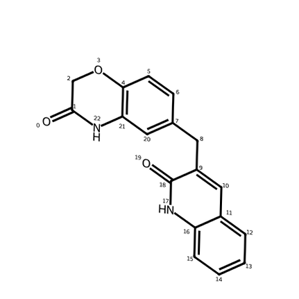 O=C1COc2ccc(Cc3cc4ccccc4[nH]c3=O)cc2N1